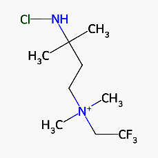 CC(C)(CC[N+](C)(C)CC(F)(F)F)NCl